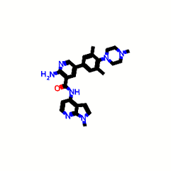 Cc1cc(-c2cnc(N)c(C(=O)Nc3ccnc4c3ccn4C)c2)cc(C)c1N1CCN(C)CC1